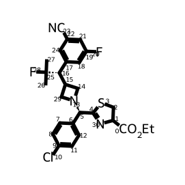 CCOC(=O)C1CSC([C@H](c2ccc(Cl)cc2)N2CC([C@@H](c3cc(F)cc(C#N)c3)C(C)(C)F)C2)=N1